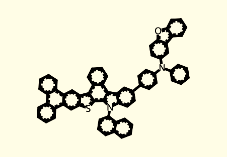 c1ccc(N(c2ccc(-c3ccc4c(c3)c3c5ccccc5c5c6cc7c8ccccc8c8ccccc8c7cc6sc5c3n4-c3cccc4ccccc34)cc2)c2ccc3oc4ccccc4c3c2)cc1